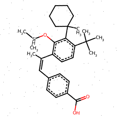 CC(=Cc1ccc(C(=O)O)cc1)c1ccc(C(C)(C)C)c(C2(C)CCCCC2)c1O[SiH](C)C